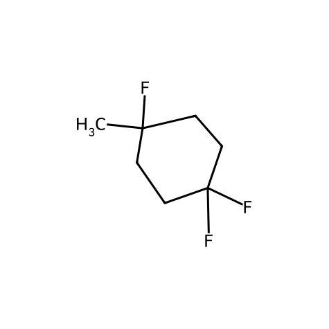 CC1(F)CCC(F)(F)CC1